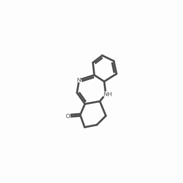 O=C1CCCC2NC3C=CC=CC3=NC=C12